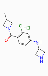 CC1CN(C(=O)c2ccc(NC3CNC3)cc2Cl)C1.Cl